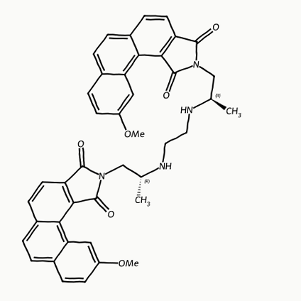 COc1ccc2ccc3ccc4c(c3c2c1)C(=O)N(C[C@@H](C)NCCN[C@H](C)CN1C(=O)c2ccc3ccc5ccc(OC)cc5c3c2C1=O)C4=O